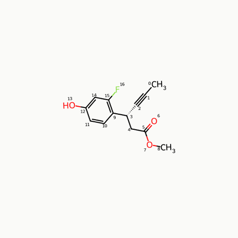 CC#C[C@H](CC(=O)OC)c1ccc(O)cc1F